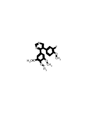 COc1ccc(-c2cncnc2-c2cc(OC)c(OC)c(OC)c2)cc1F